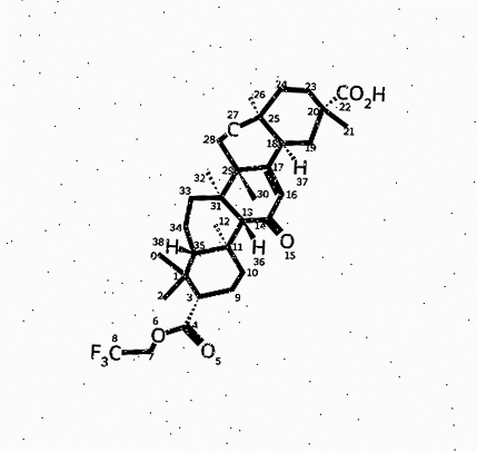 CC1(C)[C@@H](C(=O)OCC(F)(F)F)CC[C@]2(C)[C@H]3C(=O)C=C4[C@@H]5C[C@@](C)(C(=O)O)CC[C@]5(C)CC[C@@]4(C)[C@]3(C)CC[C@@H]12